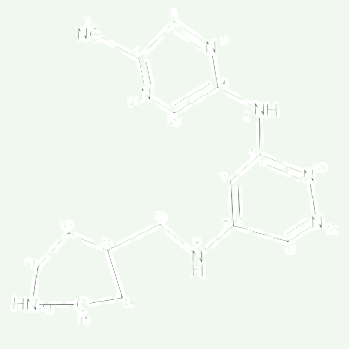 N#Cc1cnc(Nc2cc(NCC3CCNCC3)cnn2)cn1